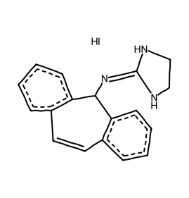 C1=Cc2ccccc2C(N=C2NCCN2)c2ccccc21.I